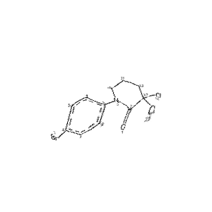 O=C1N(c2ccc(Br)cc2)CCCC1(Cl)Cl